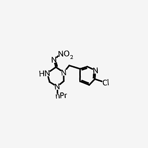 CCCN1CNC(=N[N+](=O)[O-])N(Cc2ccc(Cl)nc2)C1